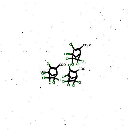 O=C([O-])C1=C(Cl)C2(Cl)CC1C(Cl)(Cl)C2(Cl)Cl.O=C([O-])C1=C(Cl)C2(Cl)CC1C(Cl)(Cl)C2(Cl)Cl.O=C([O-])C1=C(Cl)C2(Cl)CC1C(Cl)(Cl)C2(Cl)Cl.[Fe+3]